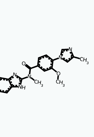 COc1cc(C(=O)N(C)c2nc3ccccc3[nH]2)ccc1-n1cnc(C)c1